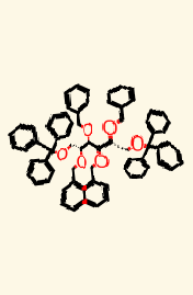 c1ccc(COC([C@@H](COC(c2ccccc2)(c2ccccc2)c2ccccc2)OCc2ccccc2)[C@H](OCc2ccccc2)[C@@H](COC(c2ccccc2)(c2ccccc2)c2ccccc2)OCc2ccccc2)cc1